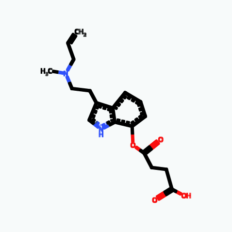 C=CCN(C)CCc1c[nH]c2c(OC(=O)CCC(=O)O)cccc12